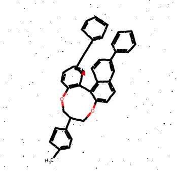 Cc1ccc(C2COc3ccc4cc(-c5ccccc5)ccc4c3-c3c(ccc4cc(-c5ccccc5)ccc34)OC2)cc1